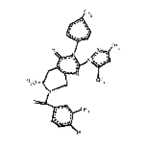 Cc1ccc(-n2c(-n3nc(C)cc3C)nc3c(c2=O)C[C@@H](C)N(C(=O)c2ccc(Br)c(C)c2)C3)cc1